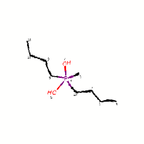 CCCCP(C)(O)(O)CCCC